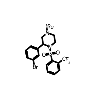 CC(C)(C)N1CCN(S(=O)(=O)c2ccccc2C(F)(F)F)C(c2cccc(Br)c2)C1